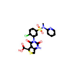 CN(c1ccccn1)S(=O)(=O)c1ccc(Cl)c(-n2c(=O)[nH]c3csc(C(=O)O)c3c2=O)c1